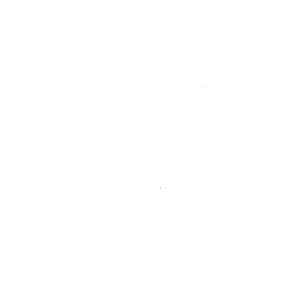 COC(=O)c1ccc2c(c1)CN(c1ccc(O)cc1)CC2